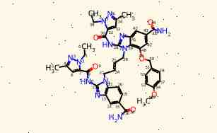 CCn1nc(C)cc1C(=O)Nc1nc2cc(C(N)=O)ccc2n1C/C=C/Cn1c(NC(=O)c2cc(C)nn2CC)nc2cc(C(N)=O)cc(OCc3ccc(OC)cc3)c21